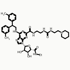 CCNC(=O)[C@H]1O[C@@H](n2cnc3c(NCC(c4cccc(C)c4)c4cccc(C)c4)nc(C(=O)NCCNC(=O)NCCN4CCCCC4)nc32)[C@H](O)[C@@H]1O